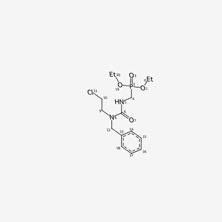 CCOP(=O)(CNC(=O)N(CCCl)Cc1ccccc1)OCC